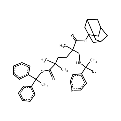 CCC(C)(BCC(C)(CCC(C)(C)C(=O)OC(C)(c1ccccc1)c1ccccc1)C(=O)OC12CC3CC(CC(C3)C1)C2)c1ccncc1